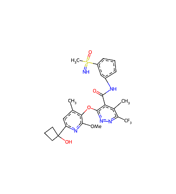 COc1nc(C2(O)CCC2)cc(C)c1Oc1nnc(C(F)(F)F)c(C)c1C(=O)Nc1cccc(S(C)(=N)=O)c1